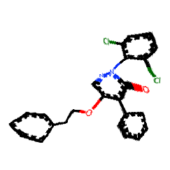 O=c1c(-c2ccccc2)c(OCCc2ccccc2)cnn1-c1c(Cl)cccc1Cl